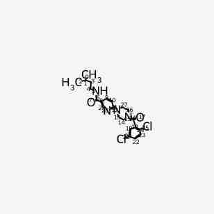 CC(C)CCNC(=O)c1ccc(N2CCN(C(=O)c3cc(Cl)ccc3Cl)CC2)nc1